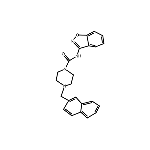 O=C(Nc1noc2ccccc12)N1CCN(Cc2ccc3ccccc3c2)CC1